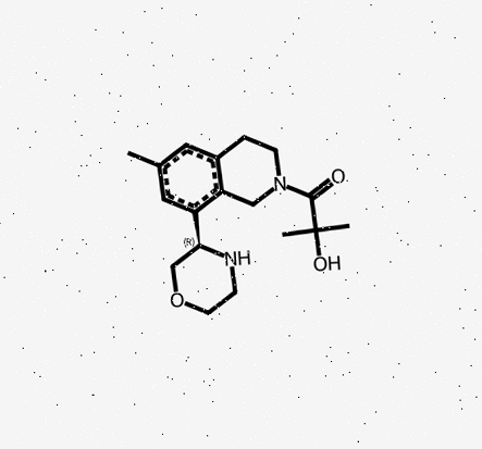 Cc1cc2c(c([C@@H]3COCCN3)c1)CN(C(=O)C(C)(C)O)CC2